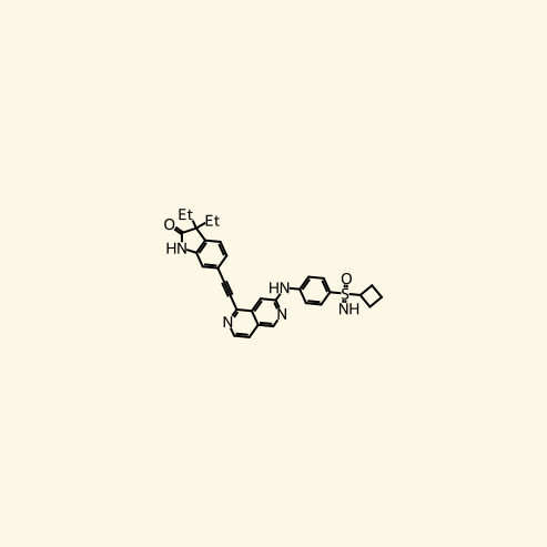 CCC1(CC)C(=O)Nc2cc(C#Cc3nccc4cnc(Nc5ccc(S(=N)(=O)C6CCC6)cc5)cc34)ccc21